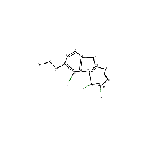 CCCc1ccc2c(c1F)-c1c(ccc(F)c1F)C2